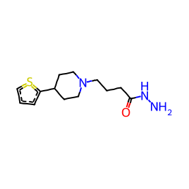 NNC(=O)CCCN1CCC(c2cccs2)CC1